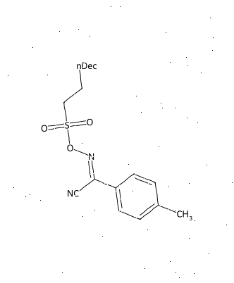 CCCCCCCCCCCCS(=O)(=O)O/N=C(\C#N)c1ccc(C)cc1